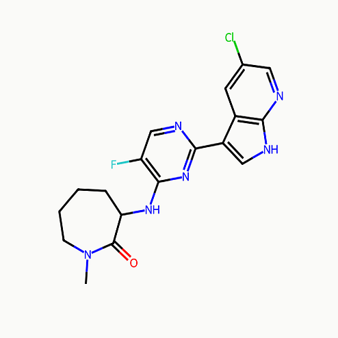 CN1CCCCC(Nc2nc(-c3c[nH]c4ncc(Cl)cc34)ncc2F)C1=O